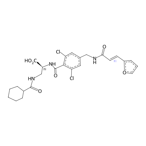 O=C(/C=C/c1ccco1)NCc1cc(Cl)c(C(=O)N[C@@H](CNC(=O)C2CCCCC2)C(=O)O)c(Cl)c1